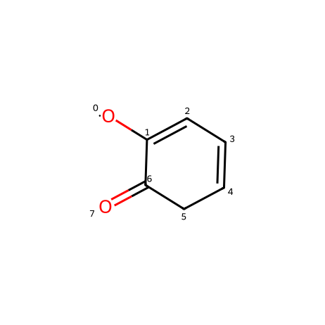 [O]C1=CC=CCC1=O